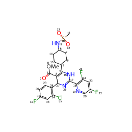 COC(=O)C1=C(C2CCC(NS(C)(=O)=O)CC2)NC(c2ncc(F)cc2F)=NC1c1ccc(F)cc1Cl